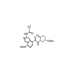 CNc1ncc(C(=O)NC2CC(OC)CCC2=O)c2cc(NC(=O)C3CC3)ncc12